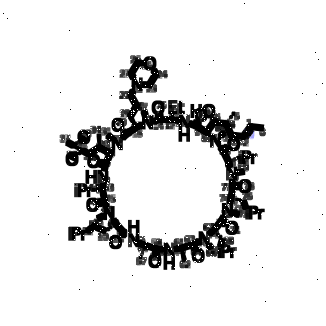 C/C=C/C[C@@H](C)[C@@H](O)[C@H]1C(=O)N[C@@H](CC)C(=O)N(C)[C@H](CCCN2CCOCC2)C(=O)N(C)[C@@H]([C@H](C)CS(C)(=O)=O)C(=O)N[C@@H](C(C)C)C(=O)N(C)[C@@H](CCC(C)C)C(=O)N[C@@H](C)C(=O)N[C@H](C)C(=O)N(C)[C@@H](CC(C)C)C(=O)N(C)[C@@H](CC(C)C)C(=O)N(C)[C@@H](C(C)C)C(=O)N1C